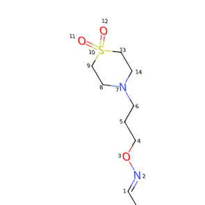 C/C=N/OCCCN1CCS(=O)(=O)CC1